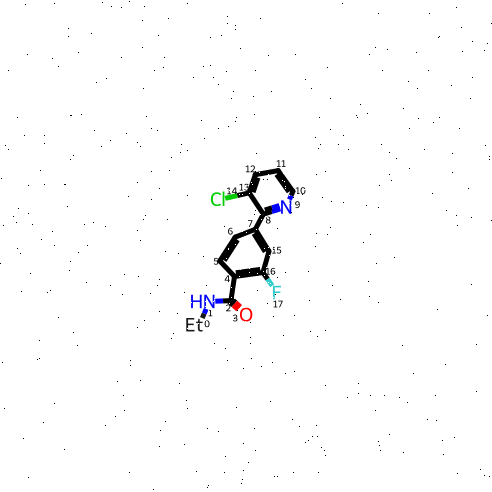 CCNC(=O)c1ccc(-c2ncccc2Cl)cc1F